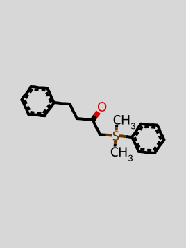 CS(C)(CC(=O)CCc1ccccc1)c1ccccc1